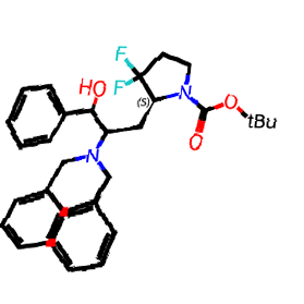 CC(C)(C)OC(=O)N1CCC(F)(F)[C@@H]1CC(C(O)c1ccccc1)N(Cc1ccccc1)Cc1ccccc1